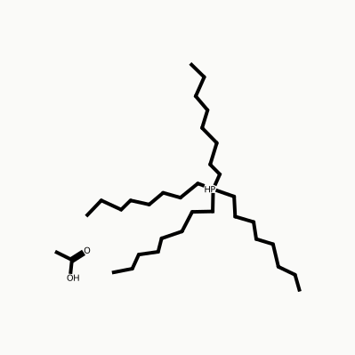 CC(=O)O.CCCCCCCC[PH](CCCCCCCC)(CCCCCCCC)CCCCCCCC